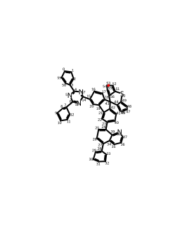 c1ccc(-c2nc(-c3ccccc3)nc(-c3ccc4c(c3)-c3cc(-c5ccc(-c6ccccc6)c6cccnc56)ccc3C43c4ccccc4Sc4ccccc43)n2)cc1